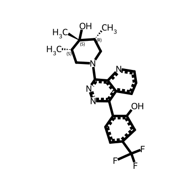 C[C@@H]1CN(c2nnc(-c3ccc(C(F)(F)F)cc3O)c3cccnc23)C[C@H](C)[C@]1(C)O